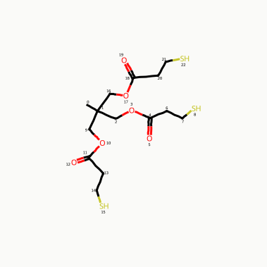 CC(COC(=O)CCS)(COC(=O)CCS)COC(=O)CCS